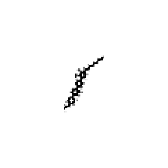 CCCCCCCCCc1ccc(-c2ccc(-c3ccc(C4CCC(CCC)CC4)c(F)c3F)cc2)c(F)c1F